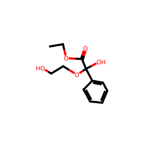 CCOC(=O)C(O)(OCCO)c1ccccc1